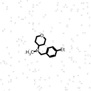 CCc1ccc(CN(C)C2CCOCC2)cc1